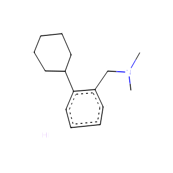 CN(C)Cc1ccccc1C1CCCCC1.I